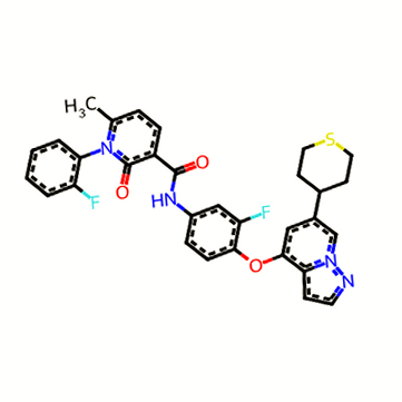 Cc1ccc(C(=O)Nc2ccc(Oc3cc(C4CCSCC4)cn4nccc34)c(F)c2)c(=O)n1-c1ccccc1F